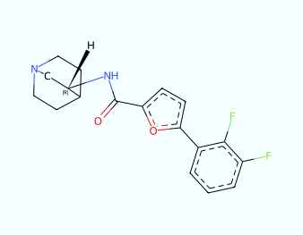 O=C(N[C@H]1CN2CCC1CC2)c1ccc(-c2cccc(F)c2F)o1